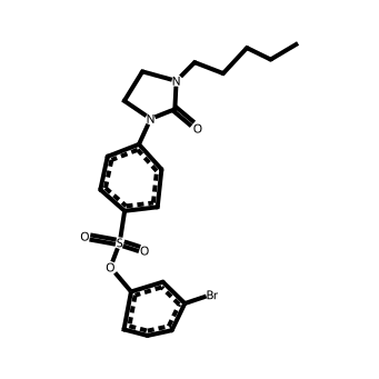 CCCCCN1CCN(c2ccc(S(=O)(=O)Oc3cccc(Br)c3)cc2)C1=O